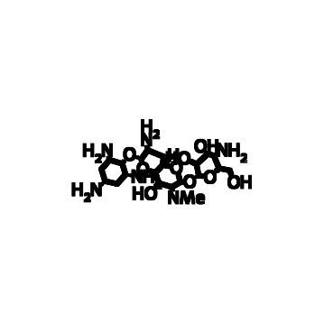 CNC1C(O[C@H]2OC(CO)[C@@H](N)[C@H](O)C2O)O[C@H]2CC(N)[C@@H](O[C@@H]3C(N)C[C@@H](N)C[C@H]3N)OC2C1O